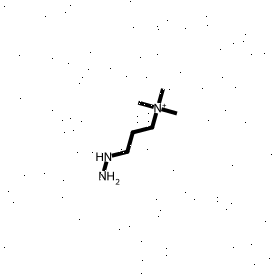 C[N+](C)(C)CCCNN